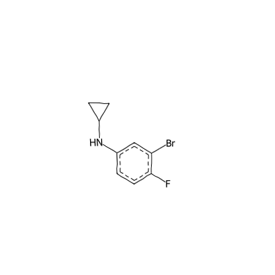 Fc1ccc(NC2CC2)cc1Br